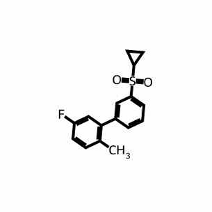 Cc1ccc(F)cc1-c1cccc(S(=O)(=O)C2CC2)c1